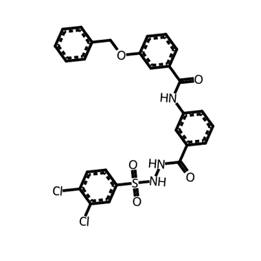 O=C(NNS(=O)(=O)c1ccc(Cl)c(Cl)c1)c1cccc(NC(=O)c2cccc(OCc3ccccc3)c2)c1